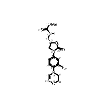 COC(=S)NC[C@H]1CN(c2ccc(N3C=NOCC3)c(F)c2)C(=O)O1